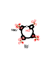 O=S(=O)([O-])c1cc2c(O)c(c1)Cc1cc(S(=O)(=O)[O-])cc(c1O)Cc1cc(S(=O)(=O)[O-])cc(c1O)Cc1cc(S(=O)(=O)[O-])cc(c1O)C2.[Na+].[Na+].[Na+].[Na+]